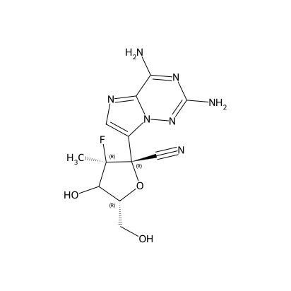 C[C@@]1(F)C(O)[C@@H](CO)O[C@@]1(C#N)c1cnc2c(N)nc(N)nn12